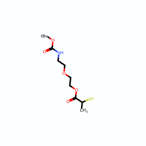 CC(S)C(=O)OCCOCCNC(=O)OC(C)(C)C